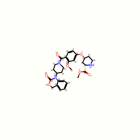 COC(=O)[C@@H]1C[C@@H](Oc2ccc(C(=O)N3CCC(N4C(=O)OCc5ccccc54)CC3)c(OC)c2)CCN1